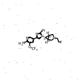 CC(C)c1nc(-c2cnc(N)c(OC(F)(F)F)c2)cn1[C@@H]1[C@@H]2CN(CCF)C[C@@H]21